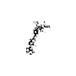 COCP(=O)(N[C@@H](C)C(=O)OC(C)C)Oc1ccc(COC(=O)Nc2ccn([C@@H]3O[C@H](CO)[C@@H](O)C3(F)F)c(=O)n2)cc1